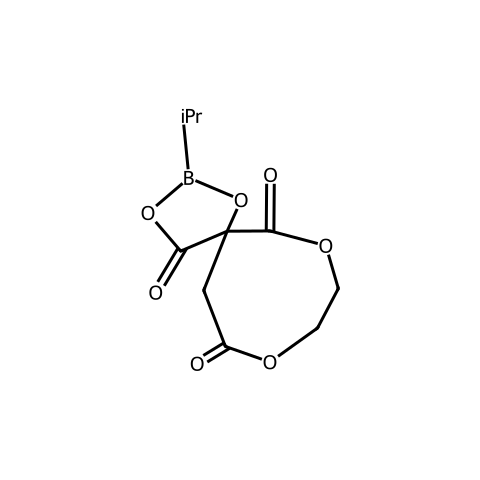 CC(C)B1OC(=O)C2(CC(=O)OCCOC2=O)O1